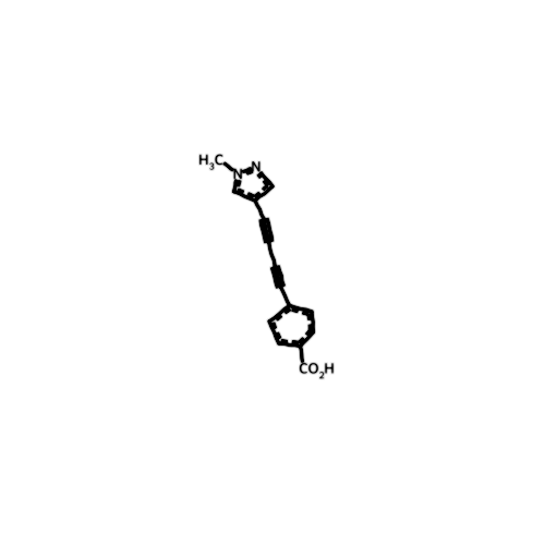 Cn1cc(C#CC#Cc2ccc(C(=O)O)cc2)cn1